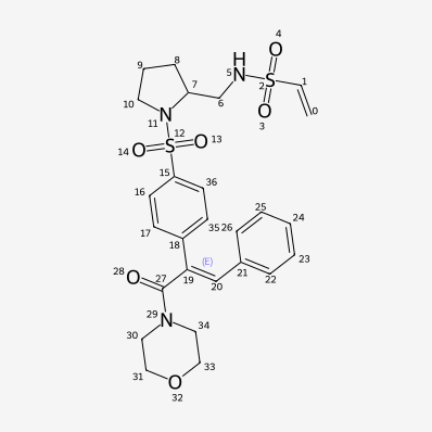 C=CS(=O)(=O)NCC1CCCN1S(=O)(=O)c1ccc(/C(=C\c2ccccc2)C(=O)N2CCOCC2)cc1